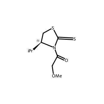 COCC(=O)N1C(=S)SC[C@@H]1C(C)C